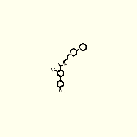 Cc1ccc(-c2ccc(C(=O)NCCCN3CCC(N4CCCCC4)CC3)c(C(F)(F)F)c2)cc1